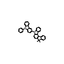 CC1(C)c2ccccc2-c2c1ccc1c2c2ccccc2n1-c1ccc2c(c1)c1ccccc1n2-c1ccccc1